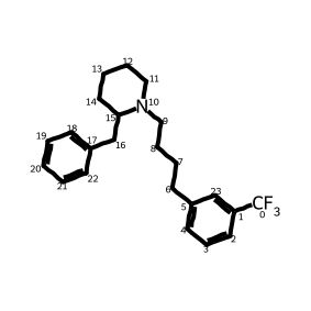 FC(F)(F)c1cccc(CCCCN2CCCCC2Cc2ccccc2)c1